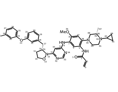 C=CC(=O)Nc1cc(Nc2cc(N3OCC[C@@H]3Cc3cccc(Oc4cccc(F)c4)c3)ncn2)c(OC)cc1N1CCN(C2CC2)[C@@H](C)C1